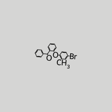 Cc1cc(Br)ccc1Oc1ccccc1C(=O)c1ccccc1